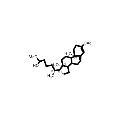 COC(O)CCC[C@@H](C)[C@H]1CCC2C3CC=C4C=C(OC(C)=O)CC[C@]4(C)C3CC[C@@]21C